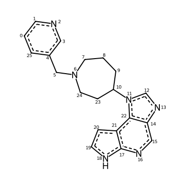 c1cncc(CN2CCCC(n3cnc4cnc5[nH]ccc5c43)CC2)c1